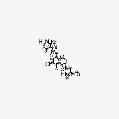 C=C(C)c1c(N)ncnc1N(C)C(C)c1cc(Cl)c(C)c(C2CN(C/C(=C\CC)NC)C2)c1OC